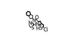 O=C(N[C@@H]1Cc2ccccc2[C@H]1CN1CCSCC1)c1cc2cc(Cl)sc2[nH]1